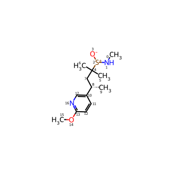 CN[S+]([O-])C(C)(C)C[C@H](C)c1ccc(OC)nc1